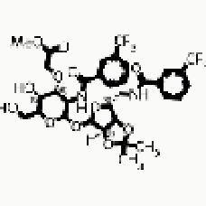 COC(=O)CO[C@@H]1C(NC(=O)c2cccc(C(F)(F)F)c2)C(OC2O[C@H](CNC(=O)c3cccc(C(F)(F)F)c3)C3OC(C)(C)O[C@@H]23)OC(CO)[C@H]1O